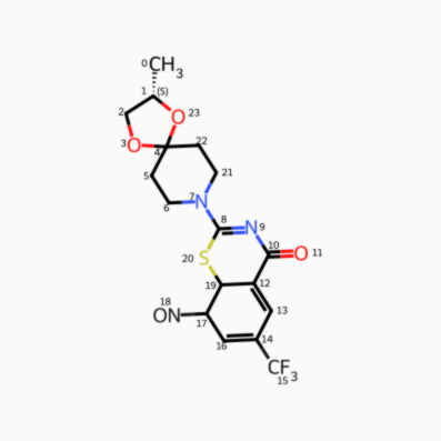 C[C@H]1COC2(CCN(C3=NC(=O)C4=CC(C(F)(F)F)=CC(N=O)C4S3)CC2)O1